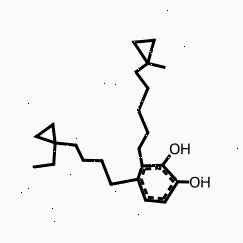 CCC1(CCCCc2ccc(O)c(O)c2CCCCCC2(C)CC2)CC1